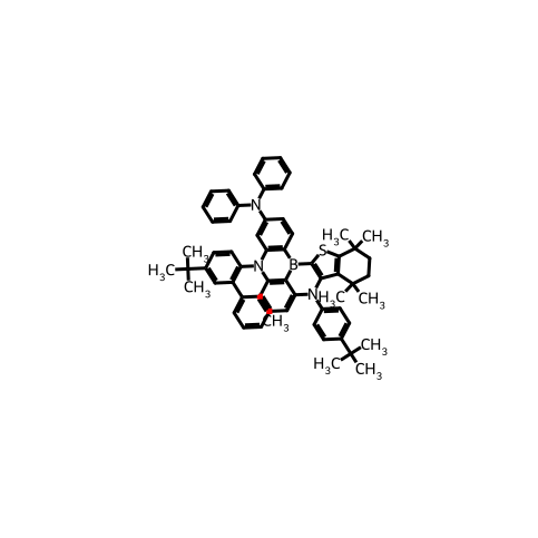 Cc1cc2c3c(c1)N(c1ccc(C(C)(C)C)cc1)c1c(sc4c1C(C)(C)CCC4(C)C)B3c1ccc(N(c3ccccc3)c3ccccc3)cc1N2c1ccc(C(C)(C)C)cc1-c1ccccc1